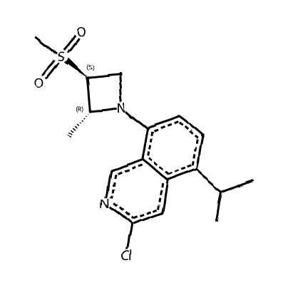 CC(C)c1ccc(N2C[C@H](S(C)(=O)=O)[C@H]2C)c2cnc(Cl)cc12